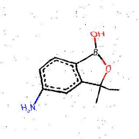 CC1(C)OB(O)c2ccc(N)cc21